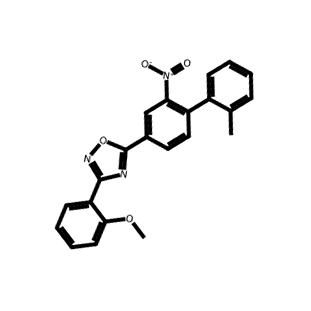 COc1ccccc1-c1noc(-c2ccc(-c3ccccc3C)c([N+](=O)[O-])c2)n1